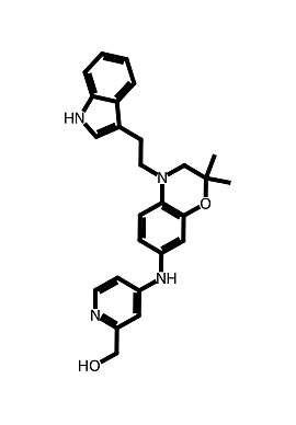 CC1(C)CN(CCc2c[nH]c3ccccc23)c2ccc(Nc3ccnc(CO)c3)cc2O1